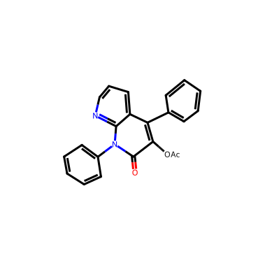 CC(=O)Oc1c(-c2ccccc2)c2cccnc2n(-c2ccccc2)c1=O